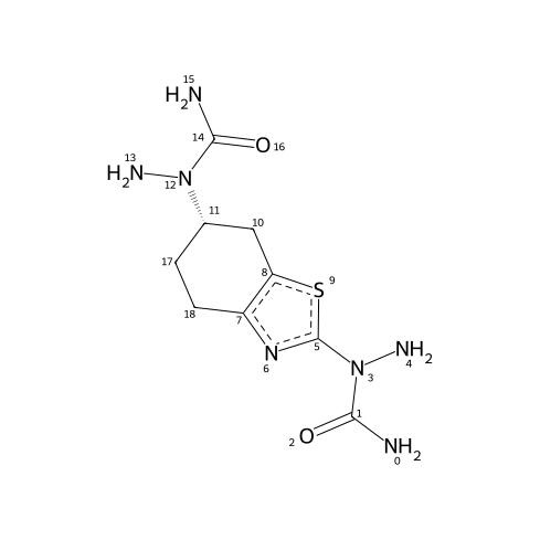 NC(=O)N(N)c1nc2c(s1)C[C@@H](N(N)C(N)=O)CC2